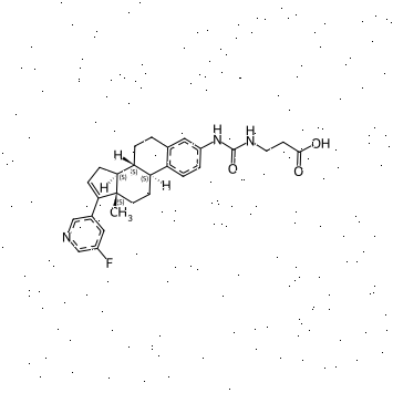 C[C@]12CC[C@@H]3c4ccc(NC(=O)NCCC(=O)O)cc4CC[C@H]3[C@@H]1CC=C2c1cncc(F)c1